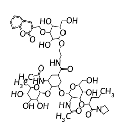 CCC[C@H](OC1C(NC(C)=O)[C@H](O[C@@H]2CC(C(=O)NCCO[C@H]3OC(CO)[C@@H](O)C(OCc4cc5ccccc5oc4=O)C3O)C[C@H](NC(C)=O)C2O[C@@H]2OC(C)[C@@H](O)C(O)C2O)OC(CO)[C@@H]1O)C(=O)N1CCC1